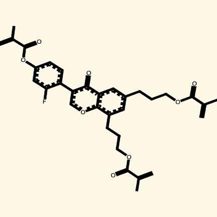 C=C(C)C(=O)OCCCc1cc(CCCOC(=O)C(=C)C)c2occ(-c3ccc(OC(=O)C(=C)C)cc3F)c(=O)c2c1